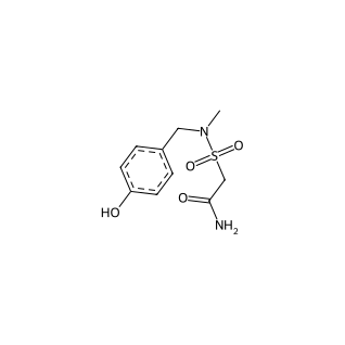 CN(Cc1ccc(O)cc1)S(=O)(=O)CC(N)=O